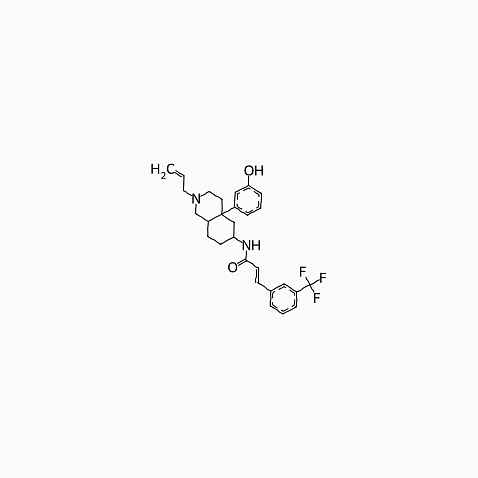 C=CCN1CCC2(c3cccc(O)c3)CC(NC(=O)/C=C/c3cccc(C(F)(F)F)c3)CCC2C1